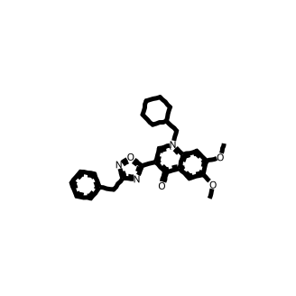 COc1cc2c(=O)c(-c3nc(Cc4ccccc4)no3)cn(CC3CCCCC3)c2cc1OC